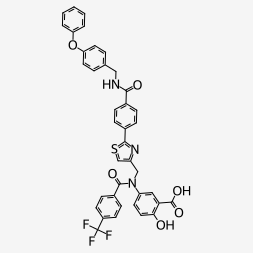 O=C(NCc1ccc(Oc2ccccc2)cc1)c1ccc(-c2nc(CN(C(=O)c3ccc(C(F)(F)F)cc3)c3ccc(O)c(C(=O)O)c3)cs2)cc1